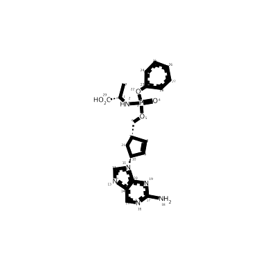 C[C@H](NP(=O)(OC[C@@H]1C=C[C@H](n2cnc3cnc(N)nc32)C1)Oc1ccccc1)C(=O)O